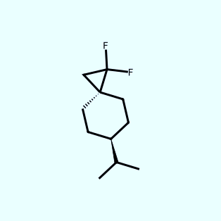 CC(C)[C@H]1CC[C@]2(CC1)CC2(F)F